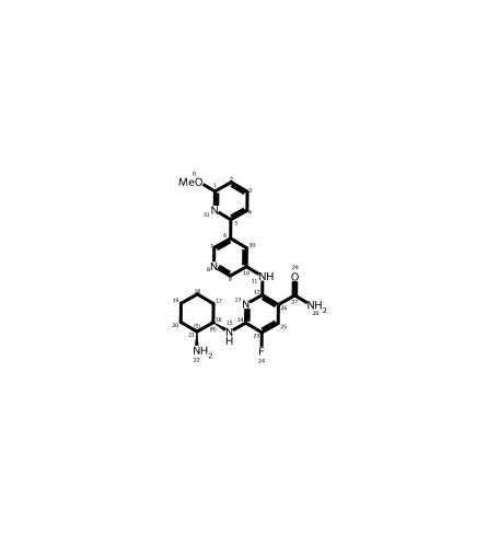 COc1cccc(-c2cncc(Nc3nc(N[C@@H]4CCCC[C@@H]4N)c(F)cc3C(N)=O)c2)n1